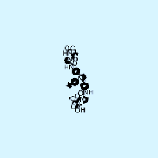 COC(=O)N[C@H](C(=O)N1CCC[C@H]1C(=O)Nc1ccc([C@@H]2CC[C@@H](c3ccc(NC(=O)[C@@H]4CCCN4C(=O)[C@H]([C@@H](C)OC)N(C)C(=O)O)cc3)N2c2ccc(C(C)(C)C)cc2)cc1)C(C)C